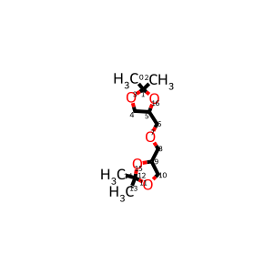 CC1(C)OCC(COCC2COC(C)(C)O2)O1